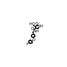 O=C(NCc1ccc(Oc2ccc(F)cc2)cc1)c1cc[nH]c(=O)c1CO